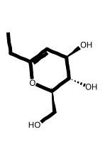 CCC1=C[C@@H](O)[C@H](O)[C@@H](CO)O1